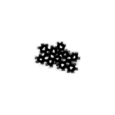 c1ccc([Si](c2ccccc2)(c2ccc3c(c2)N2B(c4ccccc4-c4ccccc42)c2ccccc2-3)c2ccc3c(c2)N2B(c4ccccc4-c4ccccc42)c2ccccc2-3)cc1